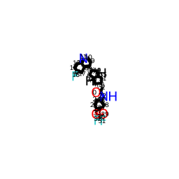 O=C(C[C@@H]1C[C@@H]2C[C@H](c3ccnc4ccc(F)cc34)C[C@@H]2C1)Nc1ccc2c(c1)OC(F)(F)O2